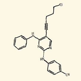 N#Cc1ccc(Nc2ncc(C#CCCCCl)c(Nc3ccccc3)n2)cc1